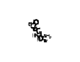 Cc1cc(-c2nc3c(N)c(Br)cnc3[nH]2)c(C)n1-c1ccccc1Cl